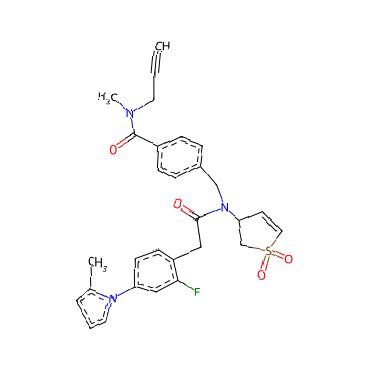 C#CCN(C)C(=O)c1ccc(CN(C(=O)Cc2ccc(-n3cccc3C)cc2F)C2C=CS(=O)(=O)C2)cc1